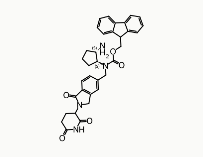 N[C@H]1CCC[C@@H]1N(Cc1ccc2c(c1)CN(C1CCC(=O)NC1=O)C2=O)C(=O)OCC1c2ccccc2-c2ccccc21